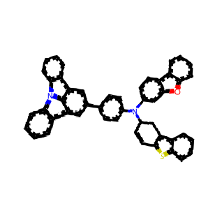 C1=CC(N(c2ccc(-c3cc4c5ccccc5n5c6ccccc6c(c3)c45)cc2)c2ccc3c(c2)oc2ccccc23)Cc2c1sc1ccccc21